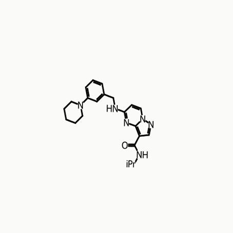 CC(C)NC(=O)c1cnn2ccc(NCc3cccc(N4CCCCC4)c3)nc12